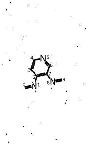 C=Nc1ccncc1N=C